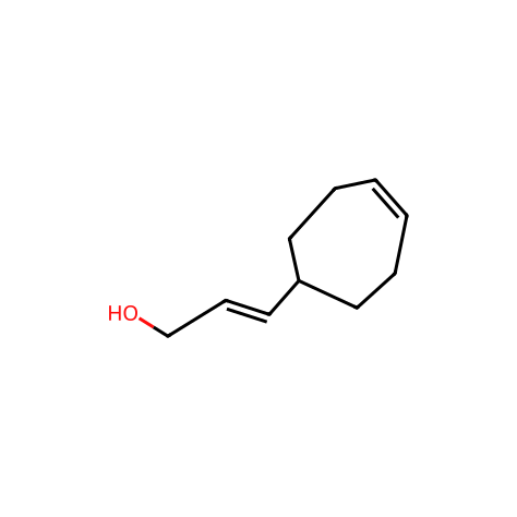 OCC=CC1CCC=CCC1